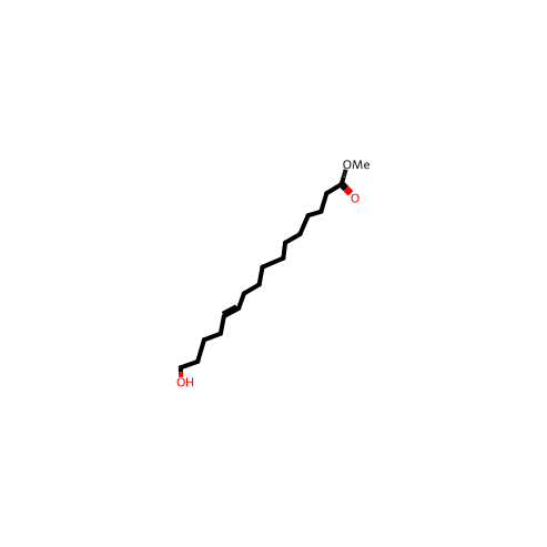 COC(=O)CCCCCCCCCC=CCCCCO